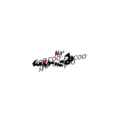 O=C(Cc1cccs1)N[C@@H]1C(=O)N2C(C(=O)[O-])=C(CSC=NN3CCN(c4c(F)cc5c(=O)c(C(=O)[O-])cn(C6CC6)c5c4F)CC3)CS[C@H]12.[Na+].[Na+]